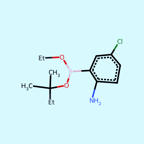 CCOB(OC(C)(C)CC)c1cc(Cl)ccc1N